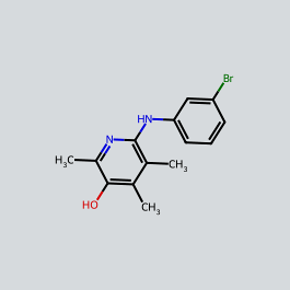 Cc1nc(Nc2cccc(Br)c2)c(C)c(C)c1O